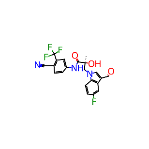 C[C@](O)(Cn1cc(C=O)c2cc(F)ccc21)C(=O)Nc1ccc(C#N)c(C(F)(F)F)c1